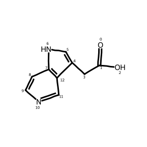 O=C(O)Cc1c[nH]c2ccncc12